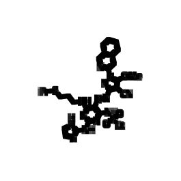 CCS(=O)(=O)Nc1nc(Nc2ncc[nH]2)nc(NCCCSC(C)C)c1N=Nc1nn(-c2cc3ccccc3cn2)c(OC)c1C#N